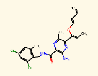 C=C/C=C/O/C(=C\C)c1nc(N)c(C(=O)NCc2c(C)cc(Cl)cc2Cl)nc1C